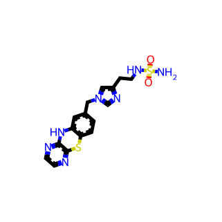 NS(=O)(=O)NCCc1cn(Cc2ccc3c(c2)Nc2nccnc2S3)cn1